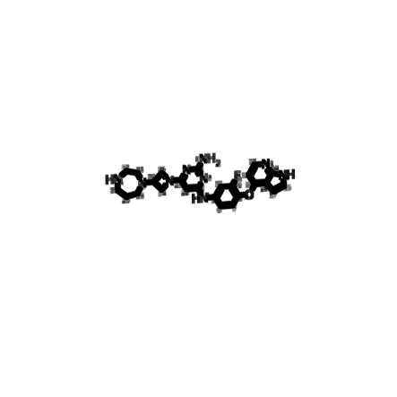 Nc1nc(Nc2ccc(Oc3ccnc4[nH]ccc34)c(F)c2)cc(N2CC(N3CCCNCC3)C2)n1